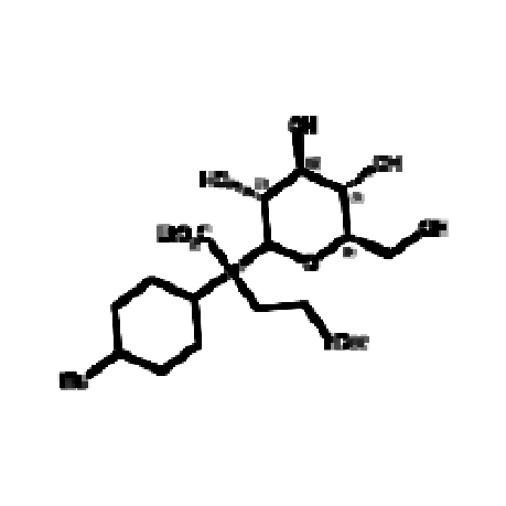 CCCCCCCCCCCC[N+](C(=O)OCC)(C1CCC(C(C)(C)C)CC1)C1O[C@H](CO)[C@@H](O)[C@H](O)[C@H]1O